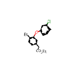 CCOC(=O)Cc1ccc(CC)c(Oc2cccc(Cl)c2)c1